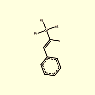 CC[Si](CC)(CC)/C(C)=C/c1ccccc1